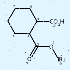 CCC(C)OC(=O)C1CCCCC1C(=O)O